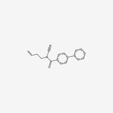 C=CCCN(C#N)C(=O)c1ccc(-c2ccccc2)cc1